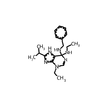 CCNC1(NCc2ccccc2)N=CN(CC)c2nc(C(C)C)[nH]c21